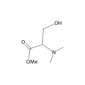 COC(=O)C(CO)N(C)C